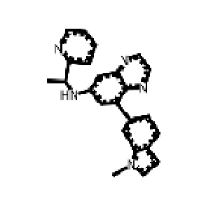 CC(Nc1cc(-c2ccc3ccn(C)c3c2)c2nccnc2c1)c1ccccn1